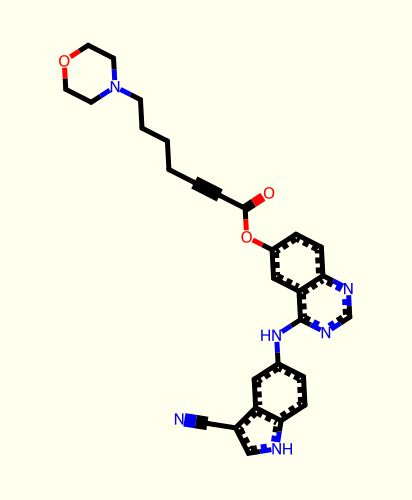 N#Cc1c[nH]c2ccc(Nc3ncnc4ccc(OC(=O)C#CCCCCN5CCOCC5)cc34)cc12